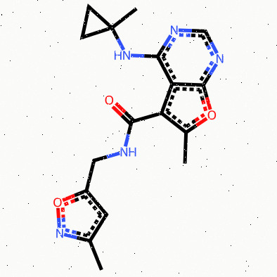 Cc1cc(CNC(=O)c2c(C)oc3ncnc(NC4(C)CC4)c23)on1